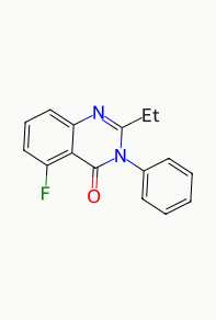 CCc1nc2cccc(F)c2c(=O)n1-c1ccccc1